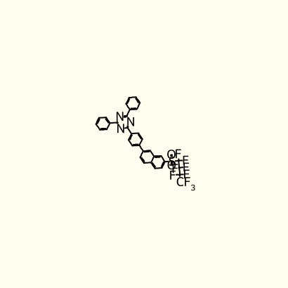 O=S(=O)(c1ccc2ccc(-c3ccc(-c4nc(-c5ccccc5)nc(-c5ccccc5)n4)cc3)cc2c1)C(F)(F)C(F)(F)C(F)(F)C(F)(F)F